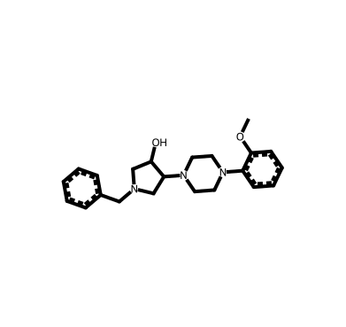 COc1ccccc1N1CCN(C2CN(Cc3ccccc3)CC2O)CC1